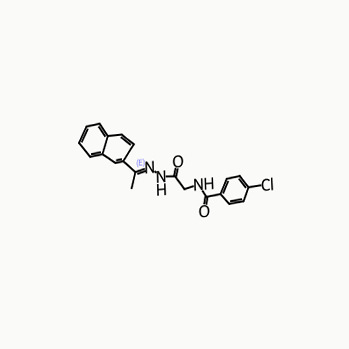 C/C(=N\NC(=O)CNC(=O)c1ccc(Cl)cc1)c1ccc2ccccc2c1